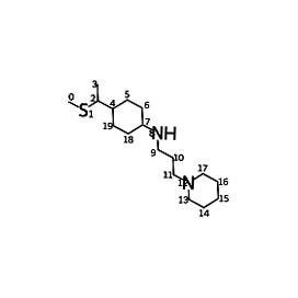 CSC(C)C1CCC(NCCCN2CCCCC2)CC1